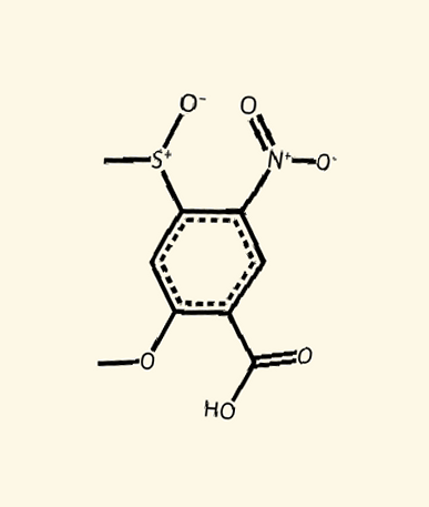 COc1cc([S+](C)[O-])c([N+](=O)[O-])cc1C(=O)O